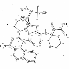 CC(C)(O)c1cnnn1[C@H]1C[C@@H](C(=O)NC2(C(=O)C(N)=O)CCCCC2)N(C(=O)[C@H](CC2CCCCC2)c2c(C(N)=O)ccc3ccccc23)C1